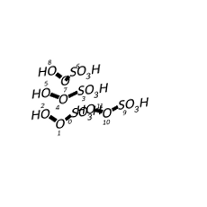 O=S(=O)(O)OO.O=S(=O)(O)OO.O=S(=O)(O)OO.O=S(=O)(O)OO